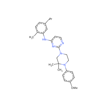 COc1ccc(N2CCN(c3nccc(Nc4cc(C(C)C)ccc4C)n3)CC2(C)C)cc1